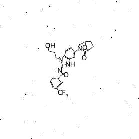 O=C(/N=c1\[nH]c2cc(N3CC4CCC(O4)C3=O)ccc2n1CCCO)c1cccc(C(F)(F)F)c1